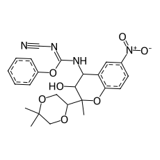 CC1(C)COC(C2(C)Oc3ccc([N+](=O)[O-])cc3C(NC(=NC#N)Oc3ccccc3)C2O)CO1